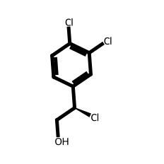 OC[C@H](Cl)c1ccc(Cl)c(Cl)c1